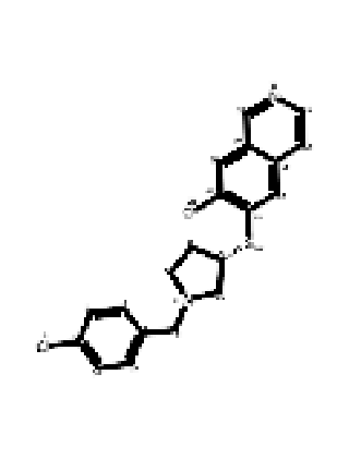 Clc1ccc(CN2CC[C@H](Sc3cc4ccncc4cc3Cl)C2)cc1